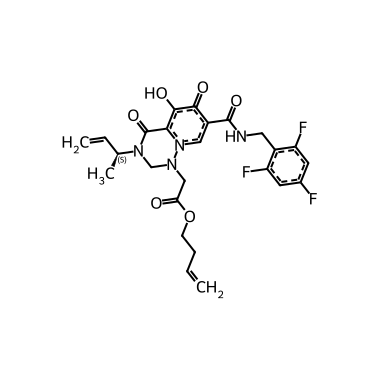 C=CCCOC(=O)CN1CN([C@@H](C)C=C)C(=O)c2c(O)c(=O)c(C(=O)NCc3c(F)cc(F)cc3F)cn21